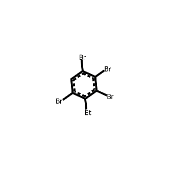 CCc1c(Br)cc(Br)c(Br)c1Br